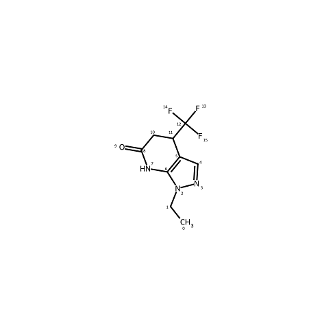 CCn1ncc2c1NC(=O)CC2C(F)(F)F